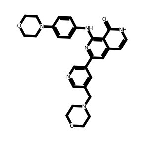 O=c1[nH]ccc2cc(-c3cncc(CN4CCOCC4)c3)nc(Nc3ccc(N4CCOCC4)cc3)c12